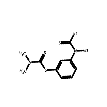 CCC(=S)N(CC)c1cccc(SC(=S)N(C)C)c1